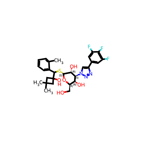 Cc1ccccc1C(S[C@@H]1O[C@H](CO)[C@H](O)[C@H](n2cc(-c3cc(F)c(F)c(F)c3)nn2)[C@H]1O)C1(O)CC(C)(C)C1